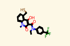 CCN(C(=O)c1c(O)c2c(CS)cccc2n(C)c1=O)c1ccc(C(F)(F)F)cc1